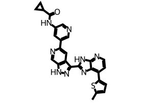 Cc1ccc(-c2ccnc3[nH]c(-c4n[nH]c5cnc(-c6cncc(NC(=O)C7CC7)c6)cc45)nc23)s1